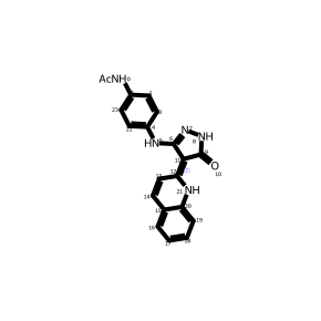 CC(=O)Nc1ccc(NC2=NNC(=O)/C2=C2/C=Cc3ccccc3N2)cc1